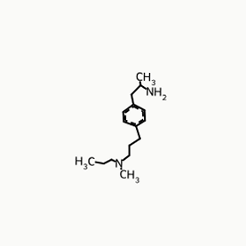 CCCN(C)CCCc1ccc(CC(C)N)cc1